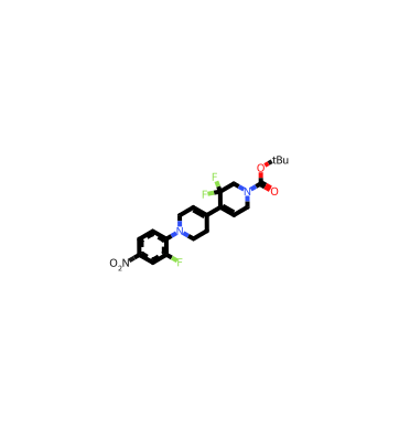 CC(C)(C)OC(=O)N1CC=C(C2=CCN(c3ccc([N+](=O)[O-])cc3F)CC2)C(F)(F)C1